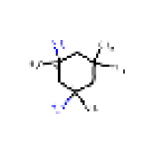 CC1(C)C[C@](C)(N)C[C@](C)(N)C1